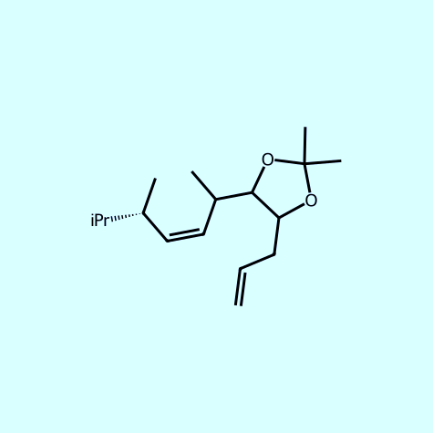 C=CCC1OC(C)(C)OC1C(C)/C=C\[C@@H](C)C(C)C